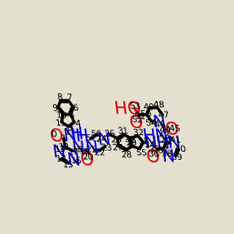 O=C(NC1Cc2ccccc2C1)c1nccnc1NC(=O)N1CCN(Cc2ccc3c(c2)CC(NC(=O)c2nccnc2NC(=O)N2CCCC(C(=O)O)C2)C3)CC1